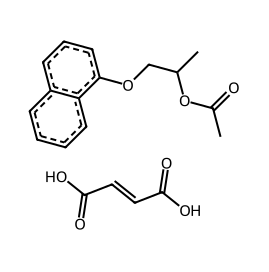 CC(=O)OC(C)COc1cccc2ccccc12.O=C(O)/C=C/C(=O)O